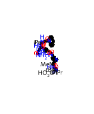 CN[C@H](C(=O)N[C@H](C(=O)N(C)[C@H](/C=C(\C)C(=O)O)C(C)C)C(C)(C)C)C(C)(C)c1cn(C)c2cc(CNC(=O)OCc3ccc(NC(=O)[C@H](CCCNC(N)=O)NC(=O)[C@@H](NC(=O)CCC(=O)N4Cc5ccccc5C#Cc5ccccc54)C(C)C)cc3)ccc12